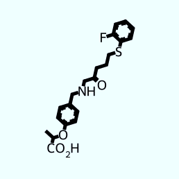 CC(Oc1ccc(CNCC(=O)CCCSc2ccccc2F)cc1)C(=O)O